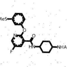 CSc1cccc(Oc2ncc(F)cc2C(=O)NC2CCC(NC(C)=O)CC2)c1